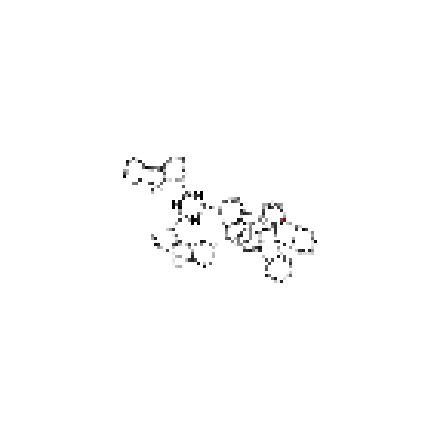 c1ccc(-c2ccc(-c3nc(-c4cccc5c4oc4ccccc45)nc(-c4cccc5oc6ccc(-c7ccc(-c8cccc9c8C8(c%10ccccc%10-c%10ccccc%108)c8ccccc8-9)cc7)cc6c45)n3)cc2)cc1